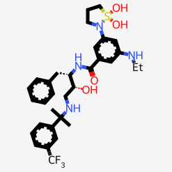 CCNc1cc(C(=O)N[C@@H](Cc2ccccc2)[C@H](O)CNC(C)(C)c2cccc(C(F)(F)F)c2)cc(N2CCCS2(O)O)c1